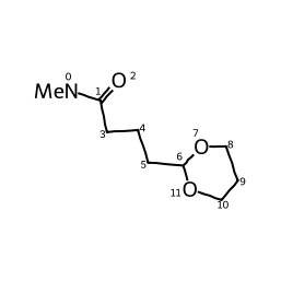 CNC(=O)CCCC1OCCCO1